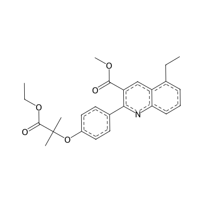 CCOC(=O)C(C)(C)Oc1ccc(-c2nc3cccc(CC)c3cc2C(=O)OC)cc1